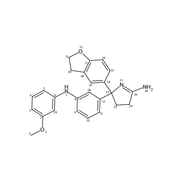 COc1cccc(Nc2cccc(C3(c4ccc5c(c4)CCO5)CCC(N)=N3)c2)c1